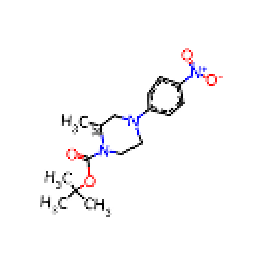 C[C@H]1CN(c2ccc([N+](=O)[O-])cc2)CCN1C(=O)OC(C)(C)C